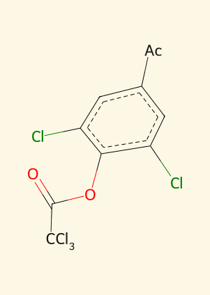 CC(=O)c1cc(Cl)c(OC(=O)C(Cl)(Cl)Cl)c(Cl)c1